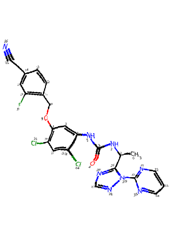 C[C@H](NC(=O)Nc1cc(OCc2ccc(C#N)cc2F)c(Cl)cc1Cl)c1ncnn1-c1ncccn1